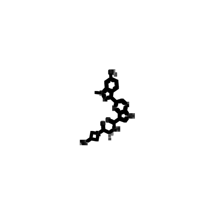 C[C@@H](NC(=O)c1c[nH]c2ncc(-c3nn(C)c4cc(C(F)(F)F)ccc34)nc12)C(=O)N1CC(C#N)C1